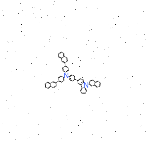 c1ccc2cc(-c3ccc(N(c4ccc(-c5ccc6ccccc6c5)cc4)c4ccc(-c5ccc6c(c5)c5ccccc5n6-c5ccc6ccccc6c5)cc4)cc3)ccc2c1